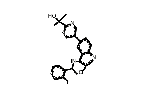 CC(Nc1c(Cl)cnc2ccc(-c3cnc(C(C)(C)O)nc3)cc12)c1ccncc1F